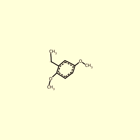 C[CH]c1cc(OC)ccc1OC